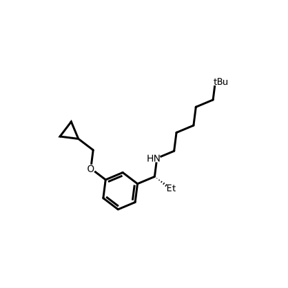 CC[C@@H](NCCCCCC(C)(C)C)c1cccc(OCC2CC2)c1